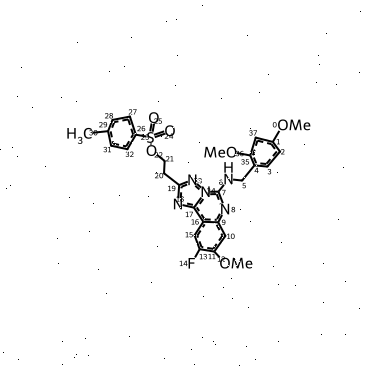 COc1ccc(CNc2nc3cc(OC)c(F)cc3c3nc(CCOS(=O)(=O)c4ccc(C)cc4)nn23)c(OC)c1